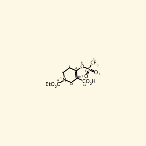 CCOC(=O)N1CCC(OS(=O)(=O)C(F)(F)F)=C(C(=O)O)C1